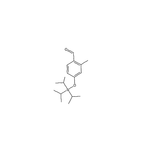 Cc1cc(O[Si](C(C)C)(C(C)C)C(C)C)ccc1C=O